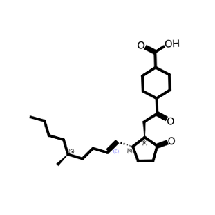 CCCC[C@H](C)CC/C=C/[C@H]1CCC(=O)[C@@H]1CC(=O)C1CCC(C(=O)O)CC1